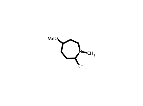 COC1CCC(C)N(C)CC1